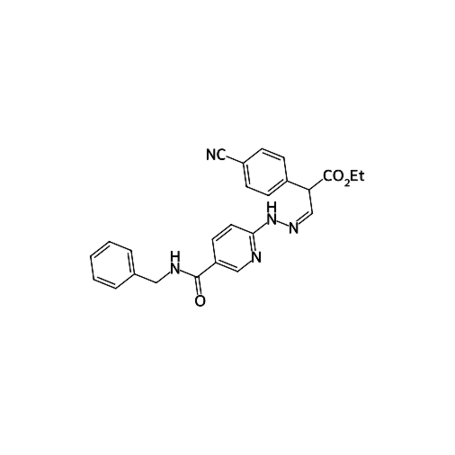 CCOC(=O)C(/C=N\Nc1ccc(C(=O)NCc2ccccc2)cn1)c1ccc(C#N)cc1